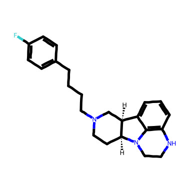 Fc1ccc(CCCCN2CC[C@H]3[C@@H](C2)c2cccc4c2N3CCN4)cc1